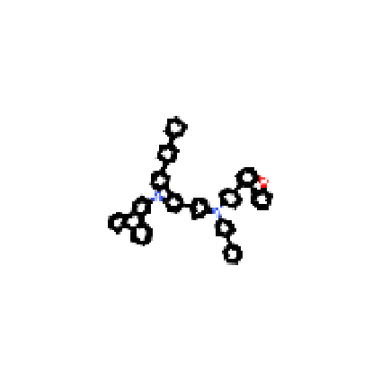 c1ccc(-c2ccc(-c3ccc4c(c3)c3cc(-c5ccc(N(c6ccc(-c7ccccc7)cc6)c6ccc(-c7cccc8oc9ccccc9c78)cc6)cc5)ccc3n4-c3ccc4c5ccccc5c5ccccc5c4c3)cc2)cc1